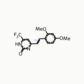 COc1ccc(/C=C/c2cc(C(F)(F)F)[nH]c(=O)n2)c(OC)c1